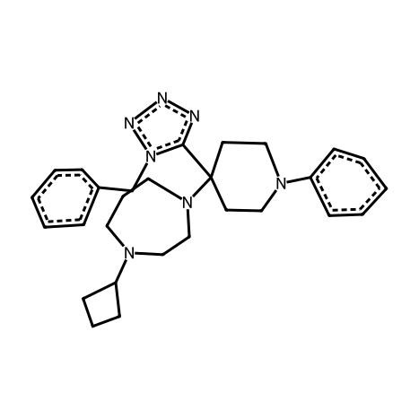 c1ccc(Cn2nnnc2C2(N3CCCN(C4CCC4)CC3)CCN(c3ccccc3)CC2)cc1